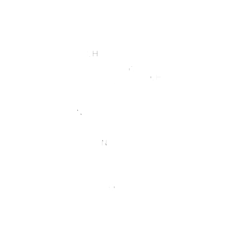 COc1cc(N2CCOCC2)ncc1C